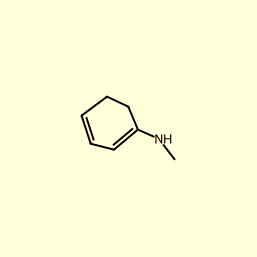 CNC1=CC=CCC1